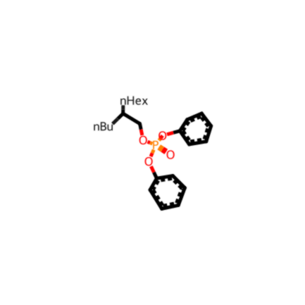 CCCCCCC(CCCC)COP(=O)(Oc1ccccc1)Oc1ccccc1